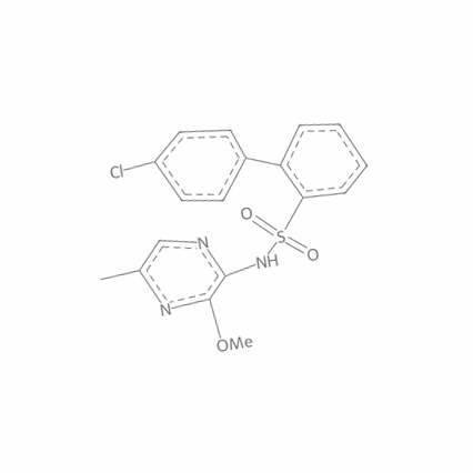 COc1nc(C)cnc1NS(=O)(=O)c1ccccc1-c1ccc(Cl)cc1